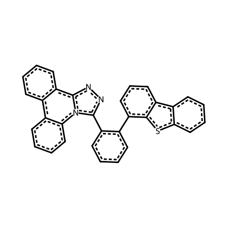 c1ccc(-c2nnc3c4ccccc4c4ccccc4n23)c(-c2cccc3c2sc2ccccc23)c1